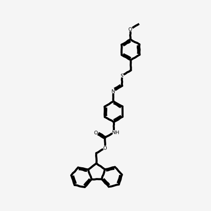 COc1ccc(CSC=Nc2ccc(NC(=O)OCC3c4ccccc4-c4ccccc43)cc2)cc1